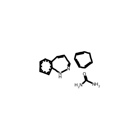 C1=CC=CCC=C1.C1=Cc2ccccc2NN=C1.NC(N)=O